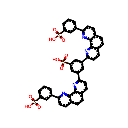 O=S(=O)(O)c1cccc(-c2ccc3ccc4ccc(-c5cc(-c6ccc7ccc8ccc(-c9cccc(S(=O)(=O)O)c9)nc8c7n6)cc(S(=O)(=O)O)c5)nc4c3n2)c1